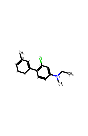 CCN(C)c1ccc(C2=CC(C)=CC[CH]2)c(Cl)c1